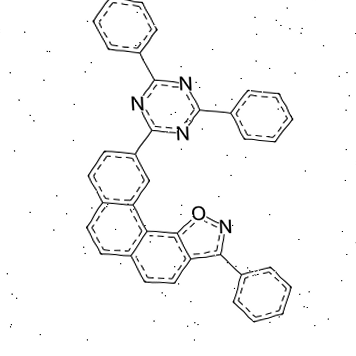 c1ccc(-c2nc(-c3ccccc3)nc(-c3ccc4ccc5ccc6c(-c7ccccc7)noc6c5c4c3)n2)cc1